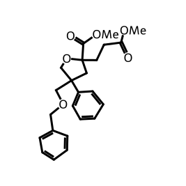 COC(=O)CCC1(C(=O)OC)CC(COCc2ccccc2)(c2ccccc2)CO1